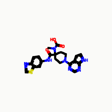 CN(C(=O)O)C1(C(=O)Nc2ccc3ncsc3c2)CCN(c2ncnc3[nH]ccc23)CC1